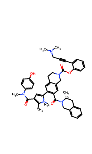 Cc1c(C(=O)N(C)c2ccc(O)cc2)cc(-c2cc3c(cc2C(=O)N2Cc4ccccc4C[C@H]2C)CN(C(=O)Oc2ccccc2C#CCN(C)C)CC3)n1C